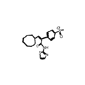 CS(=O)(=O)c1ccc(C(=CC2CCCCCCC2)C(=O)Nc2nccs2)cc1